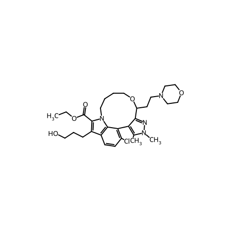 CCOC(=O)c1c(CCCO)c2ccc(Cl)c3c2n1CCCCOC(CCN1CCOCC1)c1nn(C)c(C)c1-3